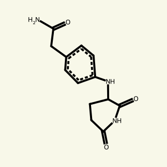 NC(=O)Cc1ccc(NC2CCC(=O)NC2=O)cc1